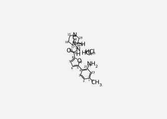 Cc1ccc(-c2ccc(C(=O)N[C@H]3CN4CCC3CC4)o2)c(N)c1.Cl.Cl